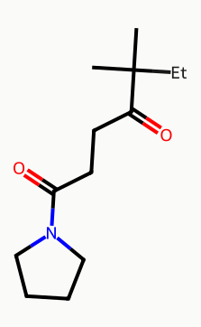 CCC(C)(C)C(=O)CCC(=O)N1CCCC1